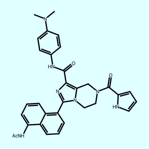 CC(=O)Nc1cccc2c(-c3nc(C(=O)Nc4ccc(N(C)C)cc4)c4n3CCN(C(=O)c3ccc[nH]3)C4)cccc12